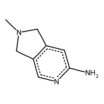 CN1Cc2cnc(N)cc2C1